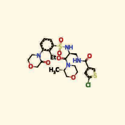 CCc1c(N2CCOCC2=O)cccc1S(=O)(=O)N[C@@H](CNC(=O)c1csc(Cl)c1)C(=O)N1CCOC[C@@H]1C